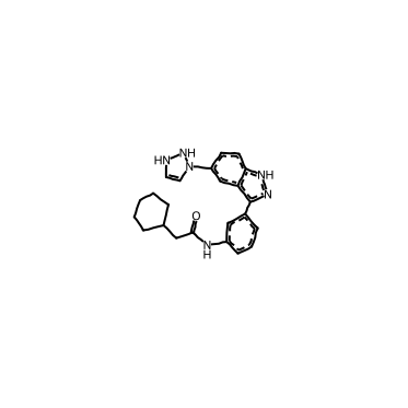 O=C(CC1CCCCC1)Nc1cccc(-c2n[nH]c3ccc(N4C=CNN4)cc23)c1